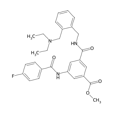 CCN(CC)Cc1ccccc1CNC(=O)c1cc(NC(=O)c2ccc(F)cc2)cc(C(=O)OC)c1